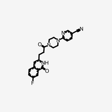 N#Cc1ccc(N2CCN(C(=O)CCc3cc4ccc(F)cc4c(=O)[nH]3)CC2)nc1